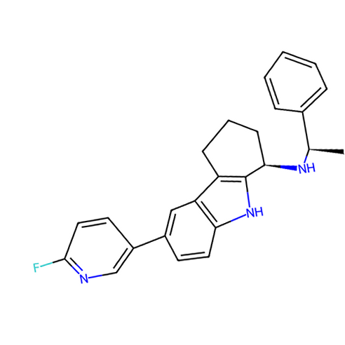 C[C@@H](N[C@@H]1CCCc2c1[nH]c1ccc(-c3ccc(F)nc3)cc21)c1ccccc1